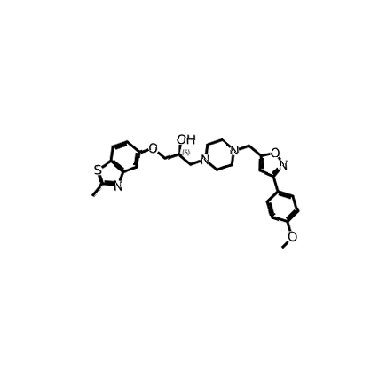 COc1ccc(-c2cc(CN3CCN(C[C@H](O)COc4ccc5sc(C)nc5c4)CC3)on2)cc1